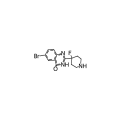 O=c1[nH]c(C2(F)CCNCC2)nc2ccc(Br)cc12